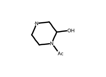 CC(=O)N1CC[N]CC1O